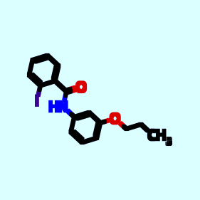 CCCOc1cccc(NC(=O)c2ccccc2I)c1